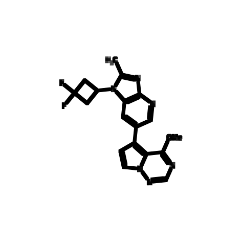 COc1ncnn2ccc(-c3cnc4nc(C)n(C5CC(F)(F)C5)c4c3)c12